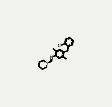 Cc1cc(N=CN2CCCCC2)c(C)cc1Cc1ccccc1Cl